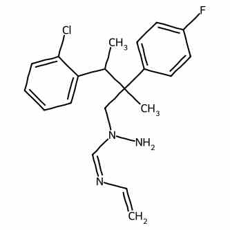 C=C/N=C\N(N)CC(C)(c1ccc(F)cc1)C(C)c1ccccc1Cl